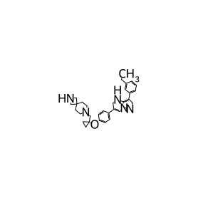 CCc1cccc(-c2cnn3c2NCC(c2ccc(OC4(CN5CCC6(CC5)CNC6)CC4)cc2)=C3)c1